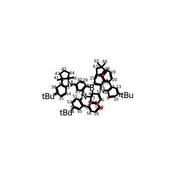 Cc1cc2c3c(c1)N(c1ccc(C(C)(C)C)cc1-c1ccccc1)c1cc4c(cc1B3c1ccc(N3c5ccc(C(C)(C)C)cc5C5(C)CCCC35C)cc1N2c1ccc(C(C)(C)C)cc1-c1ccccc1)CC(C)(C)C4